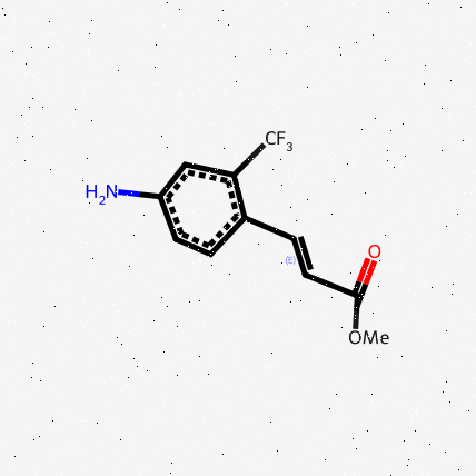 COC(=O)/C=C/c1ccc(N)cc1C(F)(F)F